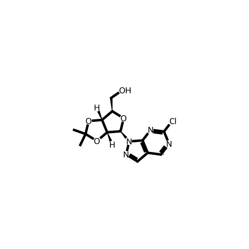 CC1(C)O[C@@H]2[C@H](O1)[C@@H](CO)O[C@H]2n1ncc2[c]nc(Cl)nc21